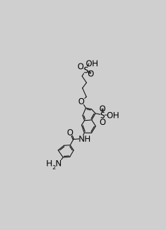 Nc1ccc(C(=O)Nc2ccc3c(S(=O)(=O)O)cc(OCCCCS(=O)(=O)O)cc3c2)cc1